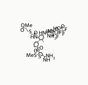 COC(=O)CCSCC(=O)Nc1cc(NC(=N)N)cc(C)c1-c1cccc(S(=O)(=O)c2cc(C(=N)N)sc2SC)c1.O=C(O)C(F)(F)F.O=C(O)C(F)(F)F